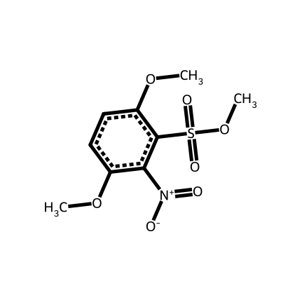 COc1ccc(OC)c(S(=O)(=O)OC)c1[N+](=O)[O-]